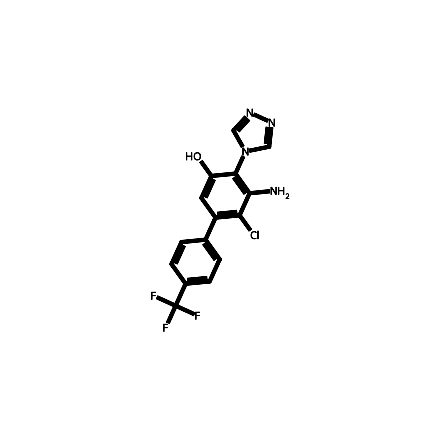 Nc1c(Cl)c(-c2ccc(C(F)(F)F)cc2)cc(O)c1-n1cnnc1